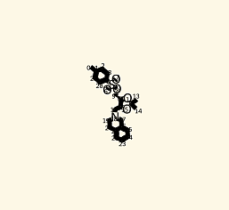 Cc1ccc(S(=O)(=O)OC[C@H]2OC(C)(C)OC2CN2CCc3ccccc3C2)cc1